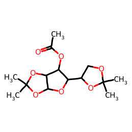 CC(=O)OC1C(C2COC(C)(C)O2)OC2OC(C)(C)OC21